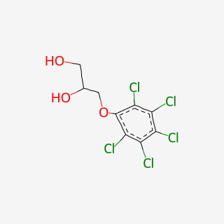 OCC(O)COc1c(Cl)c(Cl)c(Cl)c(Cl)c1Cl